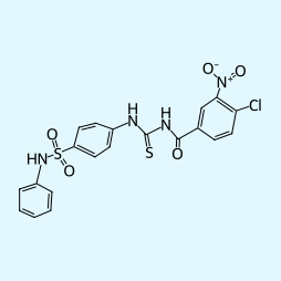 O=C(NC(=S)Nc1ccc(S(=O)(=O)Nc2ccccc2)cc1)c1ccc(Cl)c([N+](=O)[O-])c1